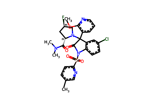 COc1ncccc1C1(N2C[C@H](F)C[C@H]2C(=O)N(C)C)C(=O)N(S(=O)(=O)c2ccc(C)cn2)c2ccc(Cl)cc21